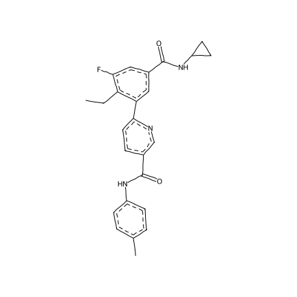 CCc1c(F)cc(C(=O)NC2CC2)cc1-c1ccc(C(=O)Nc2ccc(C)cc2)cn1